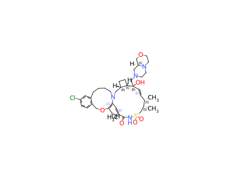 C#C/C1=C2\C=C(/C)C(=O)NS(=O)(=O)C[C@@H](C)[C@@H](C)/C=C/[C@@](O)(CN3CCN4CCOC[C@@H]4C3)[C@H]3CC[C@H]3CN2CCCCc2cc(Cl)ccc2CO1